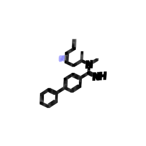 C=C/C=C\CC(C)N(C)C(=N)c1ccc(-c2ccccc2)cc1